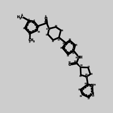 Cc1cc(C)cc(C(=O)N2CCC(c3ccc(NC(=O)[C@H]4CCN(c5cccnn5)C4)cc3)CC2)c1